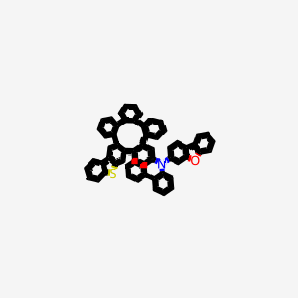 c1ccc(-c2ccccc2N(c2ccc3c(c2)oc2ccccc23)c2ccc3c(c2)c2ccccc2c2ccccc2c2ccccc2c2cc4c(cc32)sc2ccccc24)cc1